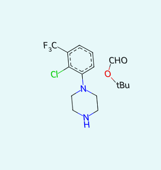 CC(C)(C)OC=O.FC(F)(F)c1cccc(N2CCNCC2)c1Cl